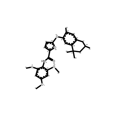 COc1cc(OC)c(NC(=O)c2ccc(Oc3cc4c(cc3C)CC(C)CC4(C)C)o2)c(OC)c1